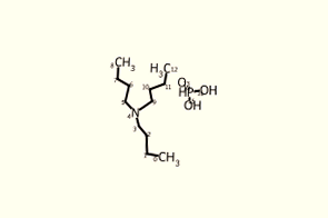 CCCCN(CCCC)CCCC.O=[PH](O)O